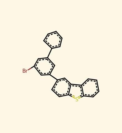 Brc1cc(-c2ccccc2)cc(-c2ccc3sc4ccccc4c3c2)c1